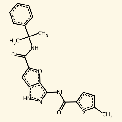 Cc1ccc(C(=O)Nc2n[nH]c3cc(C(=O)NC(C)(C)c4ccccc4)oc23)s1